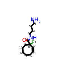 NCCCCNC(=O)C1(F)C#CCCCCC1